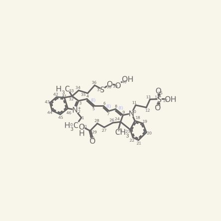 CC[N+]1=C(/C=C/C=C/C=C2/N(CCCS(=O)(=O)O)c3ccccc3C2(C)CCCC(=O)O)C(C)(CCCSOOO)c2ccccc21